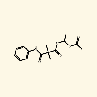 CC(=O)OC(C)OC(=O)C(C)(C)C(=O)Nc1ccccc1